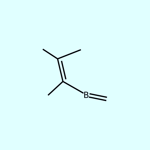 C=BC(C)=C(C)C